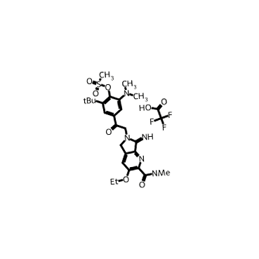 CCOc1cc2c(nc1C(=O)NC)C(=N)N(CC(=O)c1cc(N(C)C)c(OS(C)(=O)=O)c(C(C)(C)C)c1)C2.O=C(O)C(F)(F)F